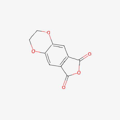 O=C1OC(=O)c2cc3c(cc21)OCCO3